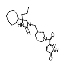 CCCC1(C2CCCCCCC2)CN(CC2CCCN(C(=O)c3ccc(=O)[nH]n3)C2)NN1